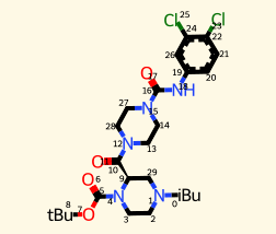 CCC(C)N1CCN(C(=O)OC(C)(C)C)[C@@H](C(=O)N2CCN(C(=O)Nc3ccc(Cl)c(Cl)c3)CC2)C1